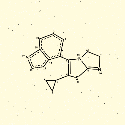 c1cc(C2=C(C3CC3)SC3=NCCN32)c2ccsc2c1